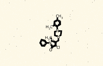 Cc1ccc(N2CCN(Cc3c(Cl)c(=O)n(-c4ccccc4)n3C)CC2)c(C)c1